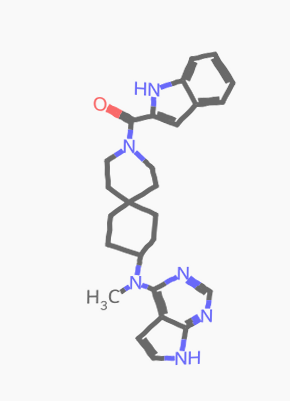 CN(c1ncnc2[nH]ccc12)C1CCC2(CC1)CCN(C(=O)c1cc3ccccc3[nH]1)CC2